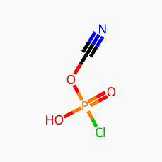 N#COP(=O)(O)Cl